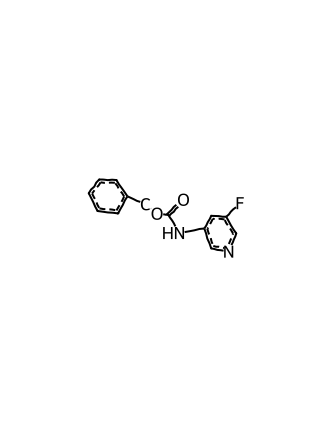 O=C(Nc1cncc(F)c1)OCc1ccccc1